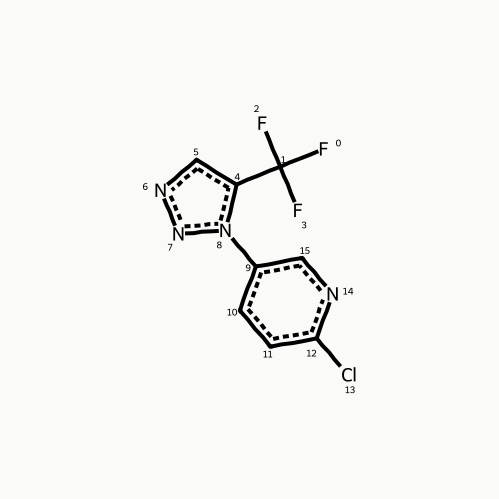 FC(F)(F)c1cnnn1-c1ccc(Cl)nc1